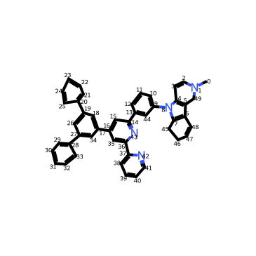 CN1C=Cc2c(c3c(n2-c2cccc(-c4cc(-c5cc(-c6ccccc6)cc(-c6ccccc6)c5)cc(-c5ccccn5)n4)c2)CCC=C3)C1